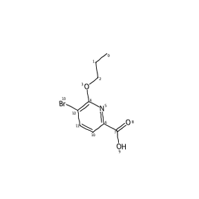 CCCOc1nc(C(=O)O)ccc1Br